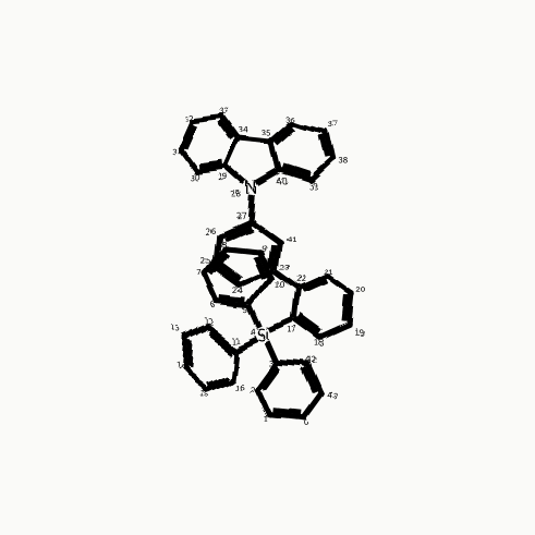 c1ccc([Si](c2ccccc2)(c2ccccc2)c2ccccc2-c2cccc(-n3c4ccccc4c4ccccc43)c2)cc1